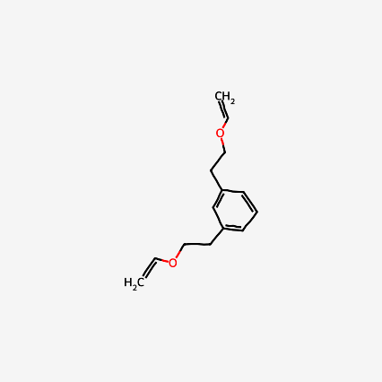 C=COCCc1cccc(CCOC=C)c1